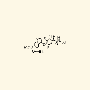 CCC(C)NC(=O)Nc1cc(F)c(Oc2ccnc3cc(OC)c(C(N)=O)cc23)c(F)c1Cl